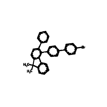 CC1(C)c2ccccc2-c2c1ccc(-c1ccccc1)c2-c1ccc(-c2ccc(Br)cc2)cc1